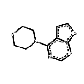 c1nc(N2CC[N]CC2)c2ccsc2n1